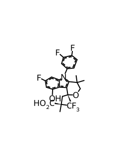 CC1(C)CO[C@](C)(C[C@](C)(C(=O)O)C(F)(F)F)c2c1n(-c1ccc(F)c(F)c1)c1cc(F)cc(O)c21